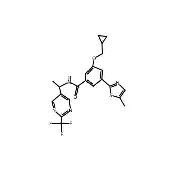 Cc1cnc(-c2cc(OCC3CC3)cc(C(=O)NC(C)c3cnc(C(F)(F)F)nc3)c2)s1